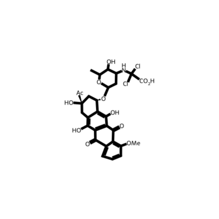 COc1cccc2c1C(=O)c1c(O)c3c(c(O)c1C2=O)C[C@@](O)(C(C)=O)C[C@@H]3OC1CC(NC(Cl)(Cl)C(=O)O)C(O)C(C)O1